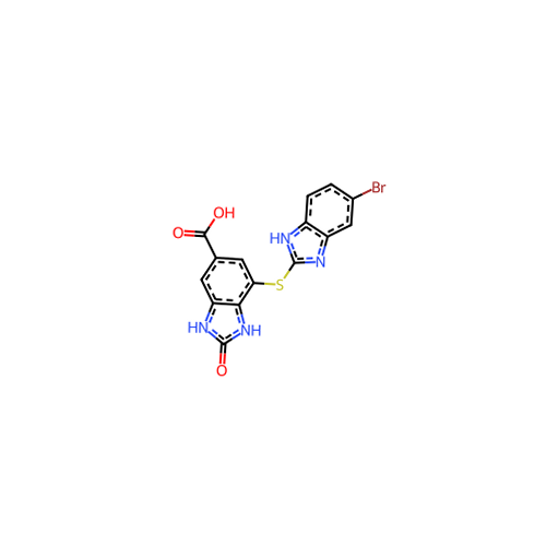 O=C(O)c1cc(Sc2nc3cc(Br)ccc3[nH]2)c2[nH]c(=O)[nH]c2c1